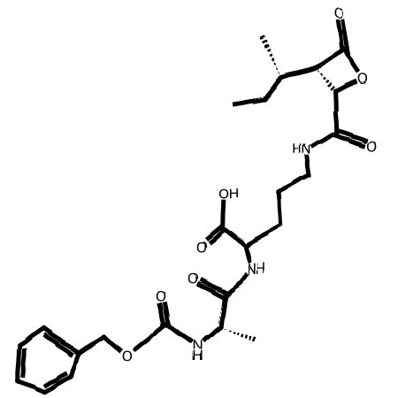 CC[C@H](C)[C@@H]1C(=O)OC1C(=O)NCCCC(NC(=O)[C@H](C)NC(=O)OCc1ccccc1)C(=O)O